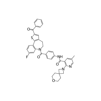 Cc1cnc(N2CC3(CCOCC3)C2)c(C(=O)Nc2ccc(C(=O)N3CCc4cc(C(=O)c5ccccc5)sc4-c4ccc(F)cc43)cc2)c1